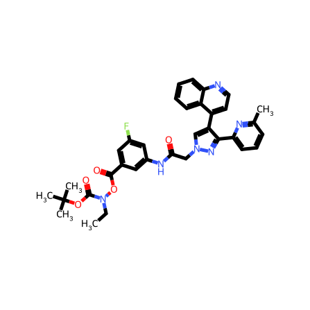 CCN(OC(=O)c1cc(F)cc(NC(=O)Cn2cc(-c3ccnc4ccccc34)c(-c3cccc(C)n3)n2)c1)C(=O)OC(C)(C)C